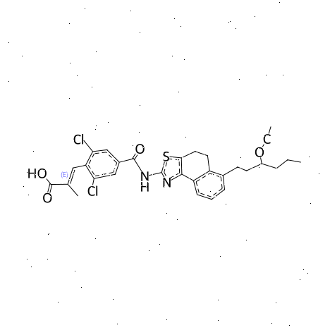 CCCC(CCc1cccc2c1CCc1sc(NC(=O)c3cc(Cl)c(/C=C(\C)C(=O)O)c(Cl)c3)nc1-2)OCC